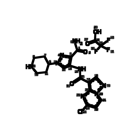 NC(=O)c1nn(C2CCNCC2)cc1NC(=O)c1cnn2ccc(Cl)nc12.O=C(O)C(F)(F)F